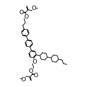 C=C(COC)C(=O)OCCCc1ccc(-c2ccc(-c3ccc(OCCOC(=O)C(=C)COC)c(C4CCC(C5CCC(CCC)CC5)CC4)c3)cc2)cc1